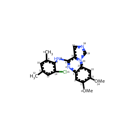 COc1cc2nc(Nc3c(C)cc(C)cc3Cl)c3cncn3c2cc1OC